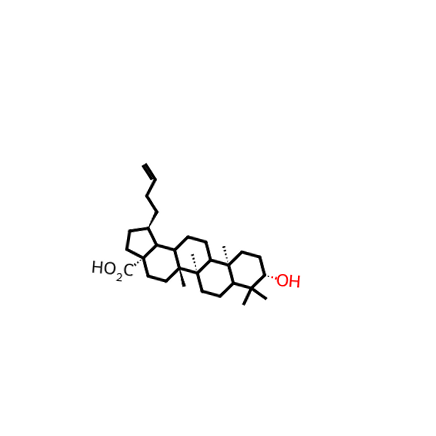 C=CCC[C@@H]1CC[C@]2(C(=O)O)CC[C@]3(C)C(CCC4[C@@]5(C)CC[C@H](O)C(C)(C)C5CC[C@]43C)C12